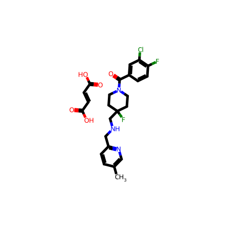 Cc1ccc(CNCC2(F)CCN(C(=O)c3ccc(F)c(Cl)c3)CC2)nc1.O=C(O)C=CC(=O)O